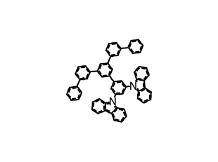 c1ccc(-c2cccc(-c3cc(-c4cccc(-c5ccccc5)c4)cc(-c4cc(-n5c6ccccc6c6ccccc65)cc(-n5c6ccccc6c6ccccc65)c4)c3)c2)cc1